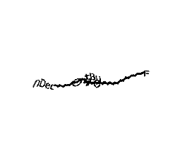 CCCCCCCCCCCCCCCCCOCC(CC(C)(C)CCOCCCCCCCCCCCCCCCCCF)C(C)(C)C